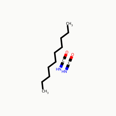 CCCCCCCCCC.N=C=O.N=C=O